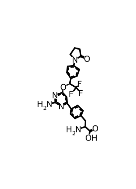 Nc1nc(O[C@@H](c2ccc(N3CCCC3=O)cc2)C(F)(F)F)cc(-c2ccc(CC(N)C(=O)O)cc2)n1